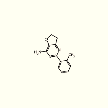 Nc1nc(-c2ccccc2C(F)(F)F)nc2c1OCC2